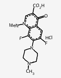 CNn1cc(C(=O)O)c(=O)c2cc(F)c(N3CCN(C)CC3)c(F)c21.Cl